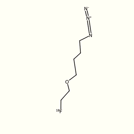 [N-]=[N+]=NCCCCOCC[18F]